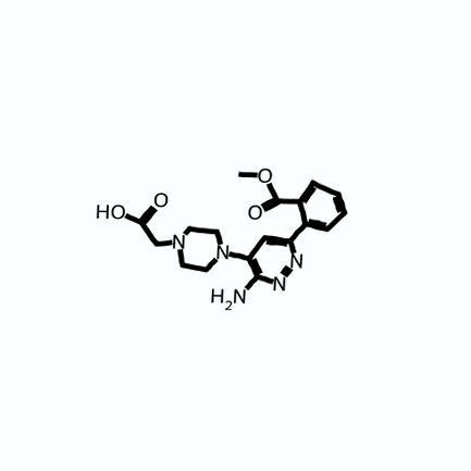 COC(=O)c1ccccc1-c1cc(N2CCN(CC(=O)O)CC2)c(N)nn1